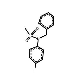 CS(=O)(=O)N(Cc1ccccc1)c1ccc(I)cc1